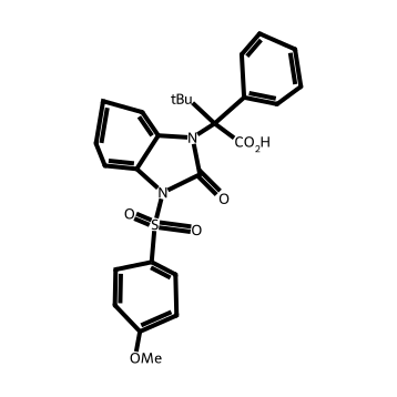 COc1ccc(S(=O)(=O)n2c(=O)n(C(C(=O)O)(c3ccccc3)C(C)(C)C)c3ccccc32)cc1